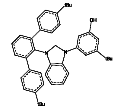 CC(C)(C)c1ccc(-c2cccc(-c3ccc(C(C)(C)C)cc3)c2N2CN(c3cc(O)cc(C(C)(C)C)c3)c3ccccc32)cc1